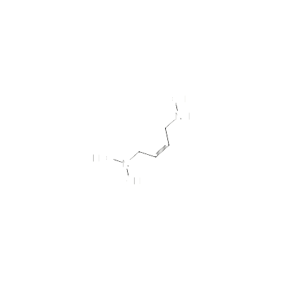 CNC/C=C\CN(C)C